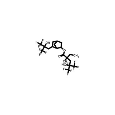 CCC(C)(CC(O)(C(F)(F)F)C(F)(F)F)C(=O)OC1CC2CC(CC(O)(C(F)(F)F)C(F)(F)F)C1C2